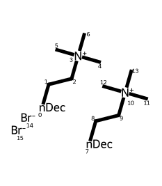 CCCCCCCCCCCC[N+](C)(C)C.CCCCCCCCCCCC[N+](C)(C)C.[Br-].[Br-]